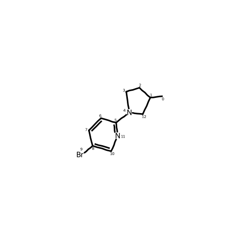 CC1CCN(c2ccc(Br)cn2)C1